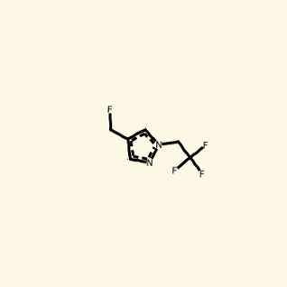 FCc1[c]nn(CC(F)(F)F)[c]1